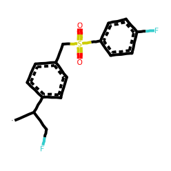 [CH2][C](CF)c1ccc(CS(=O)(=O)c2ccc(F)cc2)cc1